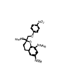 CNc1cc2c(c(NC)c1)OC(COc1ccc([N+](=O)[O-])cc1)(NC)CC2